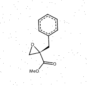 COC(=O)[C@]1(Cc2ccccc2)CO1